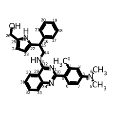 Cc1cc(N(C)C)ccc1-c1nc(NCC(c2ccccc2)c2ccc(CO)[nH]2)c2ccccc2n1